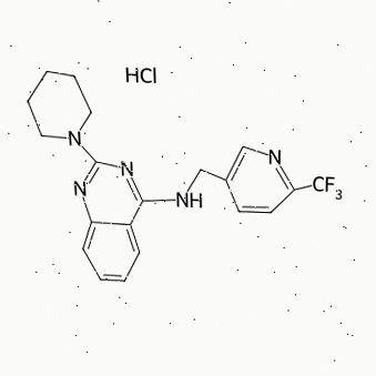 Cl.FC(F)(F)c1ccc(CNc2nc(N3CCCCC3)nc3ccccc23)cn1